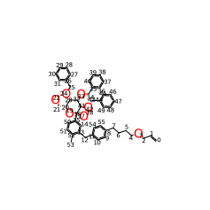 C=CCOCCCCc1ccc(Cc2cc([C@]3(OC)O[C@H](C=O)[C@@H](OCc4ccccc4)[C@H](OCc4ccccc4)[C@H]3OCc3ccccc3)ccc2C)cc1